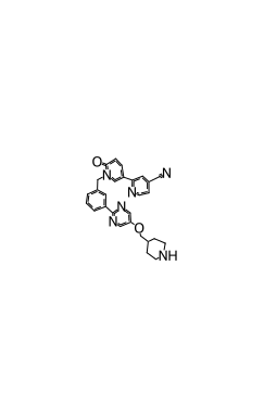 N#Cc1ccnc(-c2ccc(=O)n(Cc3cccc(-c4ncc(OCC5CCNCC5)cn4)c3)c2)c1